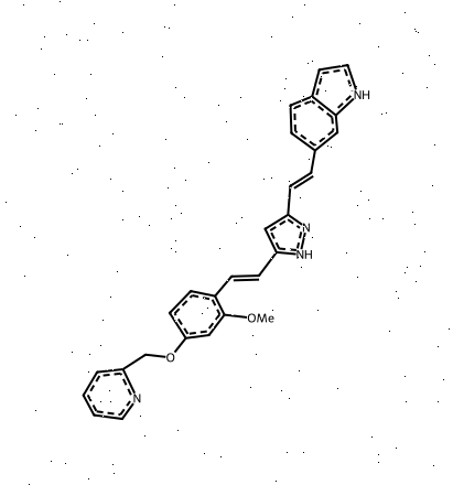 COc1cc(OCc2ccccn2)ccc1C=Cc1cc(C=Cc2ccc3cc[nH]c3c2)n[nH]1